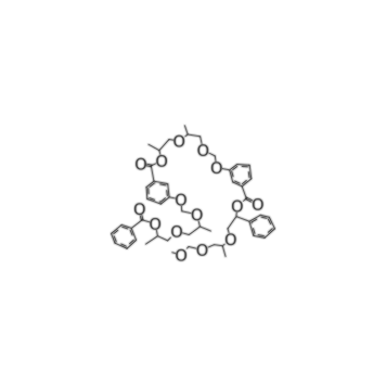 COCOCC(C)OCC(OC(=O)c1cccc(OCOCC(C)OCC(C)OC(=O)c2cccc(OCOC(C)COCC(C)OC(=O)c3ccccc3)c2)c1)c1ccccc1